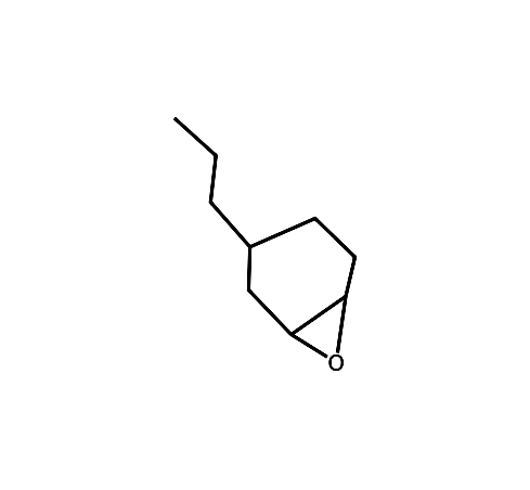 CCCC1CCC2OC2C1